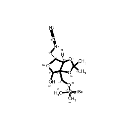 CC1(C)O[C@@H]2[C@@H](CN=[N+]=[N-])OC(O)C2(CO[Si](C)(C)C(C)(C)C)O1